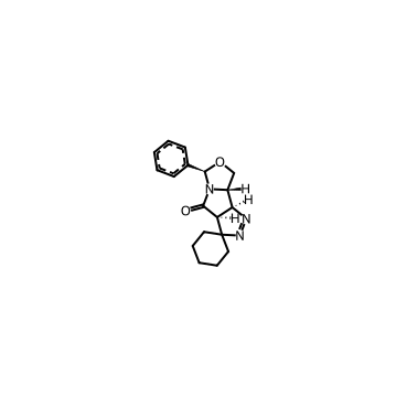 O=C1[C@H]2[C@H](N=NC23CCCCC3)[C@H]2CO[C@H](c3ccccc3)N12